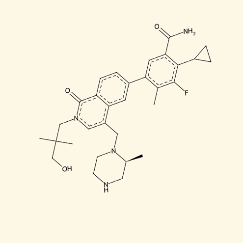 Cc1c(-c2ccc3c(=O)n(CC(C)(C)CO)cc(CN4CCNC[C@@H]4C)c3c2)cc(C(N)=O)c(C2CC2)c1F